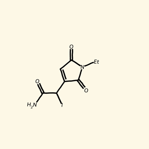 CCN1C(=O)C=C(C(I)C(N)=O)C1=O